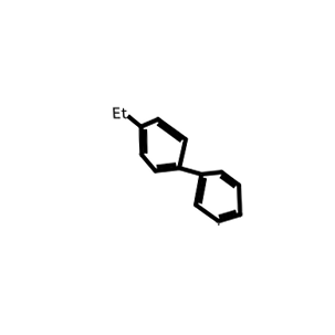 CCc1ccc(-c2c[c]ccc2)cc1